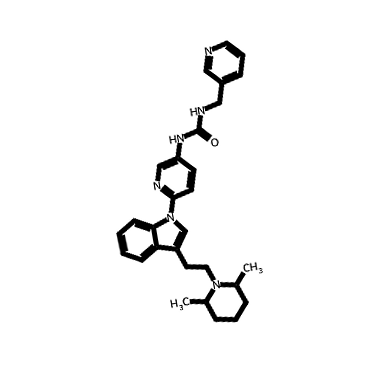 CC1CCCC(C)N1CCc1cn(-c2ccc(NC(=O)NCc3cccnc3)cn2)c2ccccc12